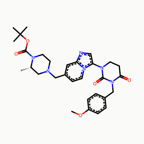 COc1ccc(CN2C(=O)CCN(c3cnc4cc(CN5CCN(C(=O)OC(C)(C)C)[C@@H](C)C5)ccn34)C2=O)cc1